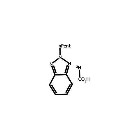 CCCCCn1nc2ccccc2n1.[2H]C(=O)O